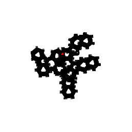 c1ccc(-n2c3ccccc3c3cccc(-c4nc(-c5ccc6ccccc6c5)nc(-c5ccc6c(oc7c8ccccc8ccc67)c5-n5c6ccccc6c6cc7ccccc7cc65)n4)c32)cc1